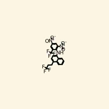 O=[N+]([O-])c1cc([N+](=O)[O-])c(Nc2ccc(CCC(F)(F)F)c3ccccc23)c(C(F)(F)F)c1